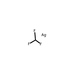 FC(F)F.[Ag]